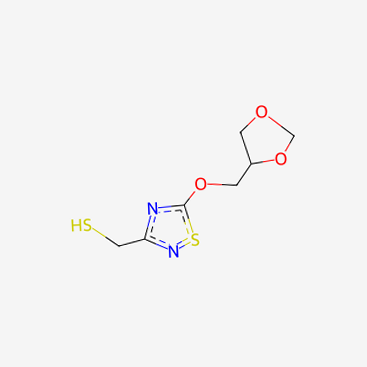 SCc1nsc(OCC2COCO2)n1